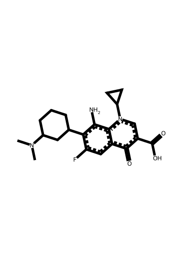 CN(C)C1CCCC(c2c(F)cc3c(=O)c(C(=O)O)cn(C4CC4)c3c2N)C1